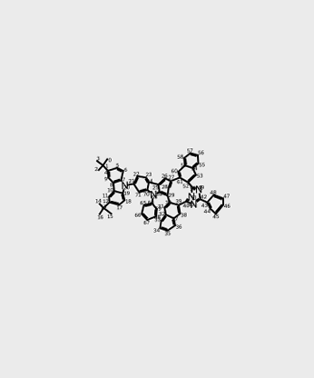 CC(C)(C)c1ccc2c(c1)c1cc(C(C)(C)C)ccc1n2-c1ccc2c3cc4cc(c5cc6ccccc6cc5c5nc(-c6ccccc6)nc(n5)c5cc6ccccc6cc45)c3n(-c3ccccc3)c2c1